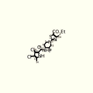 CCOC(=O)c1sc(N2CC[C@@H](NC(=O)c3[nH]c(C)c(Cl)c3Cl)[C@@H](F)C2)nc1C